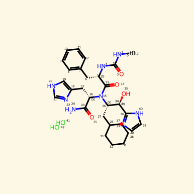 CC(C)(C)NC(=O)N[C@@H](Cc1ccccc1)C(=O)N([C@@H](Cc1c[nH]cn1)C(N)=O)[C@@H](CC1CCCCC1)[C@@H](O)c1ncc[nH]1.Cl.Cl